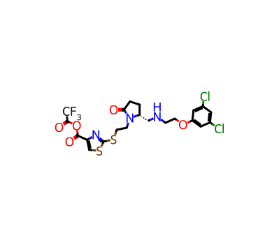 O=C(OC(=O)C(F)(F)F)c1csc(SCCN2C(=O)CC[C@@H]2CNCCOc2cc(Cl)cc(Cl)c2)n1